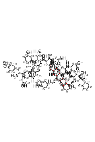 COCC[C@@H](C(=O)N1C[C@@H](O)C[C@@H]1C(=O)N[C@@H](CC(=O)O)C(=O)N[C@H](C(=O)N(C)[C@H](C=O)Cc1ccccc1)C(C)C)N(C)C(=O)[C@H](Cc1ccccc1)N(C)C(=O)[C@H](Cc1ccc(F)c(F)c1)NC(=O)CSC[C@H](NC(=O)[C@H](CC(C)C)NC(=O)[C@H](Cc1ccc(O)cc1)NC(=O)[C@H](Cc1c[nH]c2ccccc12)NC(=O)[C@H]1C[C@H](O)CN1C(=O)[C@@H](N)Cc1ccc(OC)cc1)C(=O)NCC(N)=O